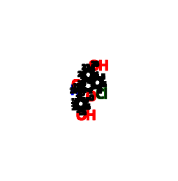 O=C(c1ccccc1Cl)c1c(-c2ccc(O)cc2)noc1-c1ccc(O)cc1